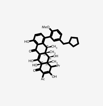 COc1ccc(CC2CCCC2)cc1-c1ccc(O)c2c1[C@@H](C)[C@@]1(C)C(=C(O)[C@@]3(O)C(=O)C(C(C)=O)=C(O)C(C(C)C)[C@@]3(C)[C@@H]1O)C2=O